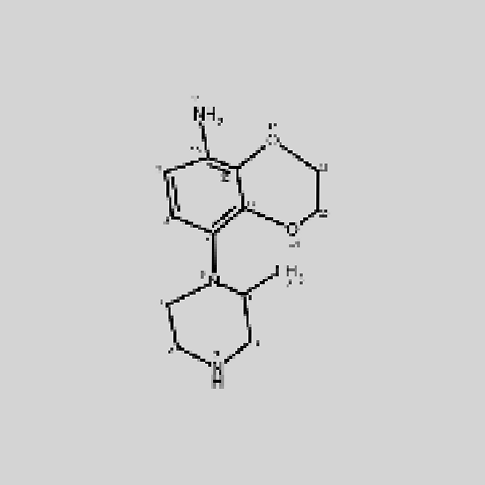 CC1CNCCN1c1ccc(N)c2c1OCCO2